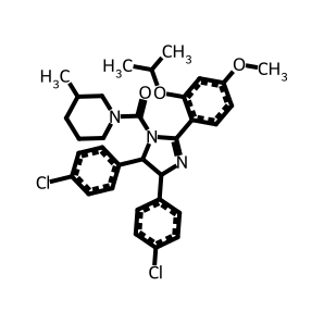 COc1ccc(C2=NC(c3ccc(Cl)cc3)C(c3ccc(Cl)cc3)N2C(=O)N2CCCC(C)C2)c(OC(C)C)c1